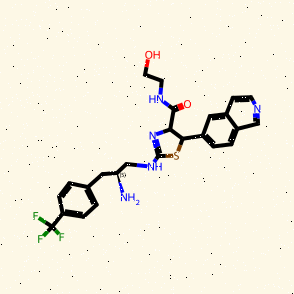 N[C@H](CNC1=NC(C(=O)NCCO)C(c2ccc3cnccc3c2)S1)Cc1ccc(C(F)(F)F)cc1